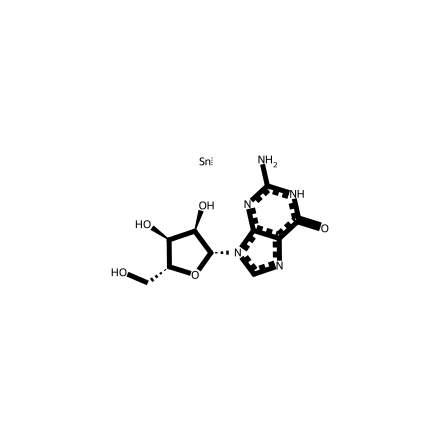 Nc1nc2c(ncn2[C@@H]2O[C@H](CO)[C@@H](O)[C@H]2O)c(=O)[nH]1.[Sn]